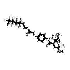 CCC(C)(C)C(CC(C)C)C(=O)Oc1ccc(OCC(=O)OCCC(F)(F)C(F)(F)C(F)(F)C(F)(F)F)cc1